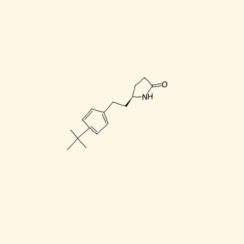 CC(C)(C)c1ccc(CC[C@H]2CCC(=O)N2)cc1